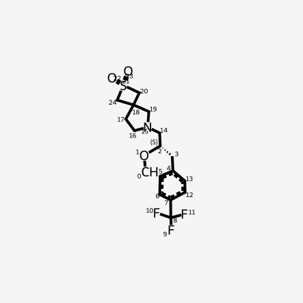 CO[C@@H](Cc1ccc(C(F)(F)F)cc1)CN1CCC2(C1)CS(=O)(=O)C2